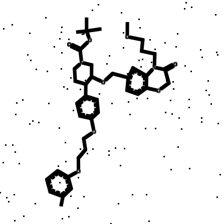 COCCCN1C(=O)COc2ccc(COC3CN(C(=O)OC(C)(C)C)CCC3c3ccc(OCCCOc4cccc(C)c4)cc3)cc21